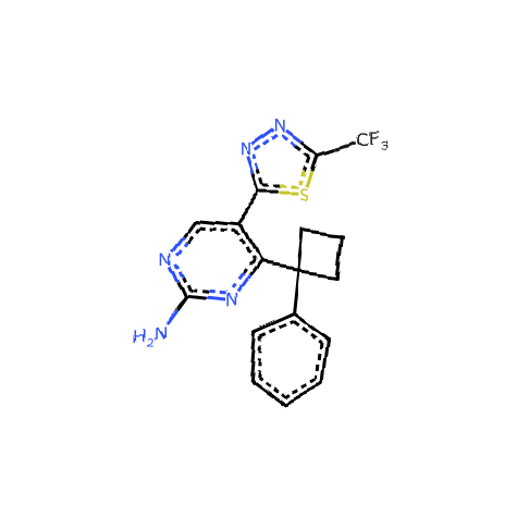 Nc1ncc(-c2nnc(C(F)(F)F)s2)c(C2(c3ccccc3)CCC2)n1